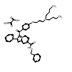 CCCCN(CCCC)CCCOc1ccc(C(=O)c2c(-c3ccccc3)cc3cc(C(=O)NOCc4ccccc4)ccn23)cc1.O=C(O)C(=O)O